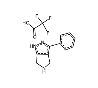 O=C(O)C(F)(F)F.c1ccc(-c2n[nH]c3c2CNC3)cc1